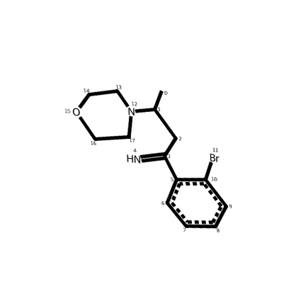 CC(CC(=N)c1ccccc1Br)N1CCOCC1